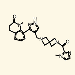 CN1C(=O)CCc2cccc(-c3n[nH]cc3CN3CC4(C3)CN(C(=O)c3nccn3C)C4)c21